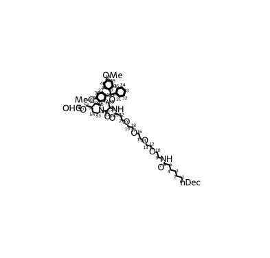 CCCCCCCCCCCCCCCC(=O)NCCOCCOCCOCCOCCC(=O)NC(COC(c1ccccc1)(c1ccc(OC)cc1)c1ccc(OC)cc1)C(=O)N1CCC(COC=O)CC1